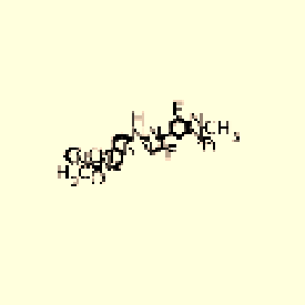 Cc1nc2c(F)cc(-c3nc(Nc4ccc5c(n4)CCN(C(=O)C(C)(C)N4CCCC4)C5)ncc3F)cc2n1C(C)C